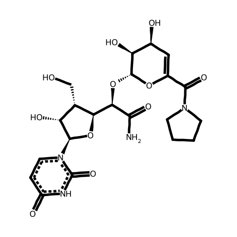 NC(=O)[C@H](O[C@H]1OC(C(=O)N2CCCC2)=C[C@H](O)[C@@H]1O)[C@H]1O[C@@H](n2ccc(=O)[nH]c2=O)[C@H](O)[C@@H]1CO